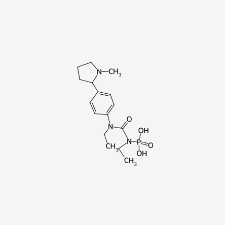 CCN(C(=O)N(CC)P(=O)(O)O)c1ccc(C2CCCN2C)cc1